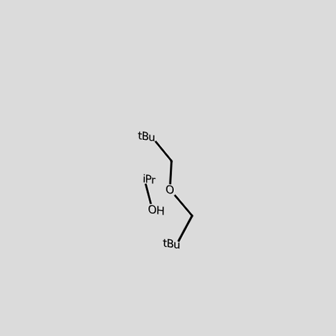 CC(C)(C)COCC(C)(C)C.CC(C)O